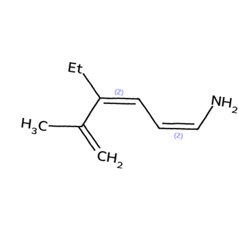 C=C(C)/C(=C\C=C/N)CC